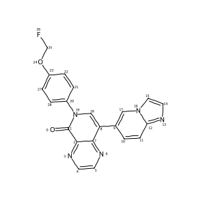 O=c1c2nccnc2c(-c2ccc3nccn3c2)cn1-c1ccc(OCF)cc1